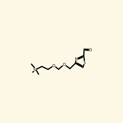 C[Si](C)(C)CCOCOCc1csc(C=O)n1